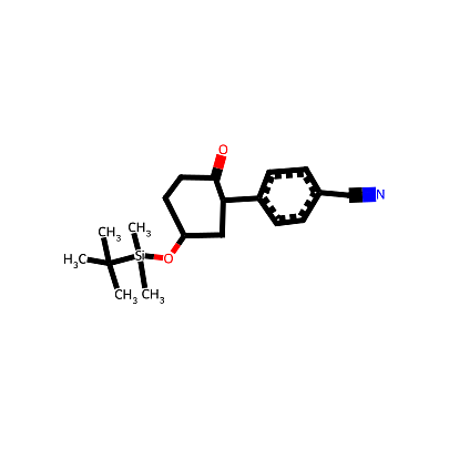 CC(C)(C)[Si](C)(C)OC1CCC(=O)C(c2ccc(C#N)cc2)C1